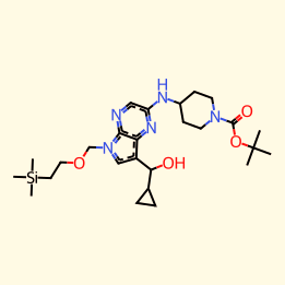 CC(C)(C)OC(=O)N1CCC(Nc2cnc3c(n2)c(C(O)C2CC2)cn3COCC[Si](C)(C)C)CC1